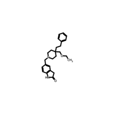 CCOCC1(CCc2ccccc2)CCN(Cc2ccc3c(c2)CC(=O)N3)CC1